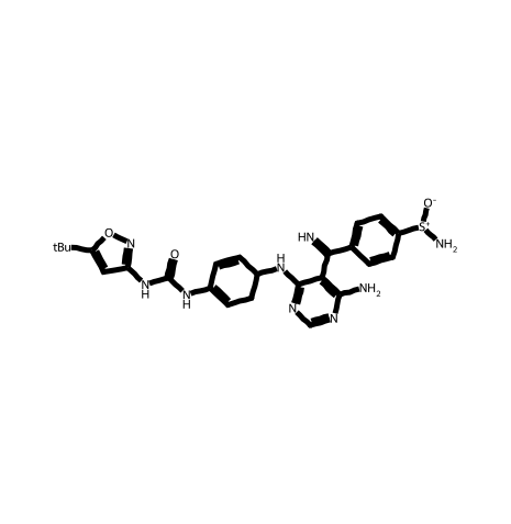 CC(C)(C)c1cc(NC(=O)NC2=CCC(Nc3ncnc(N)c3C(=N)c3ccc([S+](N)[O-])cc3)C=C2)no1